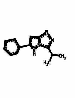 CC(C)c1nnc2cc(-c3ccccc3)[nH]n12